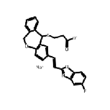 O=C([O-])CCSC1c2ccccc2COc2ccc(C=Cc3nc4cc(F)ccc4o3)cc21.[Na+]